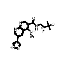 CC(C)Nc1c(C(=O)NC[C@@H](F)C(C)(C)O)cnc2ncc(-c3cn[nH]c3)cc12